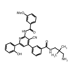 COc1cccc(C(=O)Nc2nc(-c3ccccc3O)cc(-c3cccc(C(=O)NCC(C)(C)CN)c3)c2C#N)c1